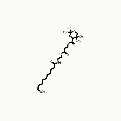 CCCCCCCC/C=C\CCCCCCCC(=O)NCCNC(=O)CCNC(=O)C1OC(C)(C)OCC1(C)C